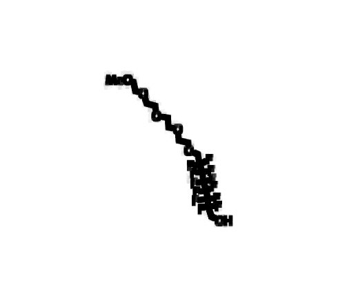 COCCOCCOCCOCCOCC(F)(F)C(F)(F)C(F)(F)C(F)(F)C(F)(F)C(F)(F)CO